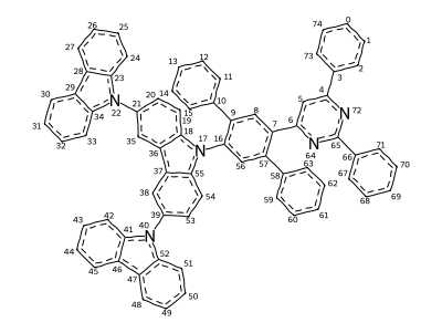 c1ccc(-c2cc(-c3cc(-c4ccccc4)c(-n4c5ccc(-n6c7ccccc7c7ccccc76)cc5c5cc(-n6c7ccccc7c7ccccc76)ccc54)cc3-c3ccccc3)nc(-c3ccccc3)n2)cc1